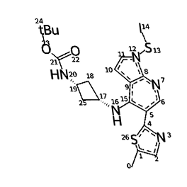 Cc1cnc(-c2cnc3c(ccn3SI)c2N[C@H]2C[C@@H](NC(=O)OC(C)(C)C)C2)s1